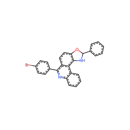 Brc1ccc(-c2nc3ccccc3c3c4c(ccc23)OC(c2ccccc2)N4)cc1